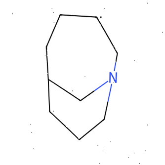 [CH]1CCC2CCCN(C1)C2